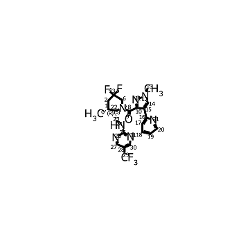 C[C@@H]1CC(F)(F)CN(C(=O)c2nn(C)cc2-c2ccccn2)[C@@H]1CNc1ncc(C(F)(F)F)cn1